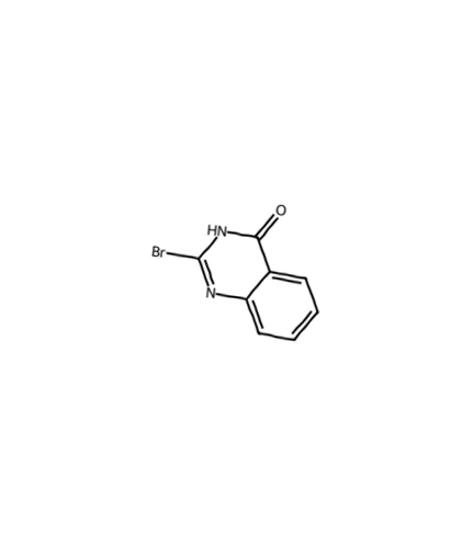 O=c1[nH]c(Br)nc2ccccc12